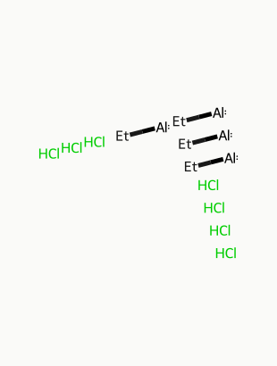 C[CH2][Al].C[CH2][Al].C[CH2][Al].C[CH2][Al].Cl.Cl.Cl.Cl.Cl.Cl.Cl